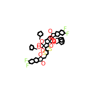 O=C1C(=CC2=CC3=C(c4sc5cc(C=C6C(=O)c7cc8cc(F)c(F)cc8cc7C6=O)sc5c4C3(C(=O)OCc3ccccc3)C(=O)OCc3ccccc3)C2(C(=O)OCc2ccccc2)C(=O)OCc2ccccc2)C(=O)c2cc3cc(F)c(F)cc3cc21